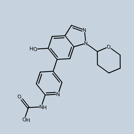 O=C(O)Nc1ccc(-c2cc3c(cnn3C3CCCCO3)cc2O)cn1